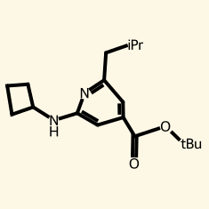 CC(C)Cc1cc(C(=O)OC(C)(C)C)cc(NC2CCC2)n1